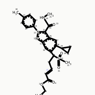 CCOC(=O)/C=C/CC(c1cc2nn(-c3ccc(C)cc3)c(C(=O)NC)c2cc1C1CC1)S(C)(=O)=O